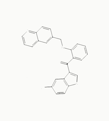 Cc1ccc2[nH]cc(C(=O)c3ccccc3NCc3ccc4ncccc4c3)c2c1.Cl